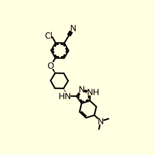 CN(C)C1C=Cc2c(N[C@H]3CC[C@H](Oc4ccc(C#N)c(Cl)c4)CC3)n[nH]c2C1